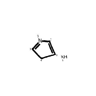 C1=CN=CC1.[KH]